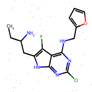 CCC(N)Cc1[nH]c2nc(Cl)nc(NCc3ccco3)c2c1F